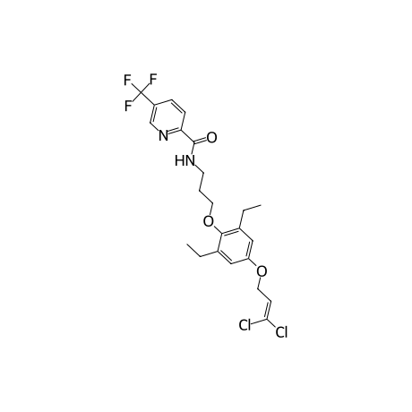 CCc1cc(OCC=C(Cl)Cl)cc(CC)c1OCCCNC(=O)c1ccc(C(F)(F)F)cn1